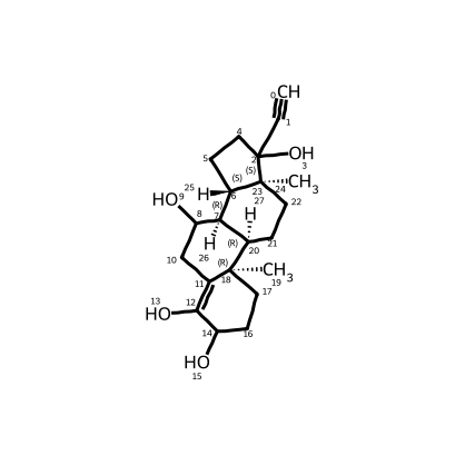 C#CC1(O)CC[C@H]2[C@@H]3C(O)CC4=C(O)C(O)CC[C@]4(C)[C@@H]3CC[C@@]21C